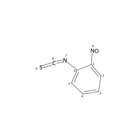 O=Nc1ccccc1N=C=S